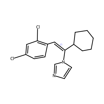 Clc1ccc(/C=C(/C2CCCCC2)n2ccnc2)c(Cl)c1